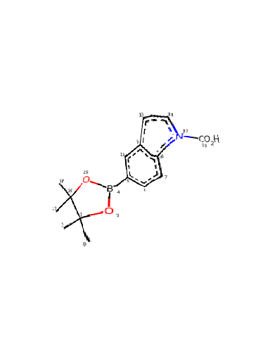 CC1(C)OB(c2ccc3c(ccn3C(=O)O)c2)OC1(C)C